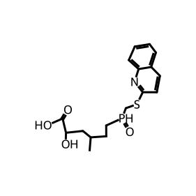 CC(CC[PH](=O)CSc1ccc2ccccc2n1)CC(O)C(=O)O